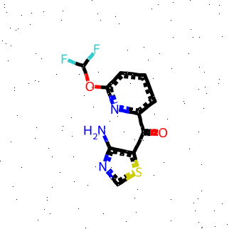 Nc1ncsc1C(=O)c1cccc(OC(F)F)n1